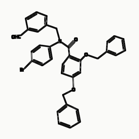 O=Cc1cccc(CN(C(=O)c2ccc(OCc3ccccc3)cc2OCc2ccccc2)c2ccc(Br)cc2)c1